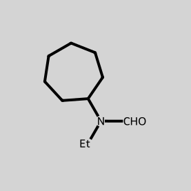 CCN(C=O)C1CCCCCC1